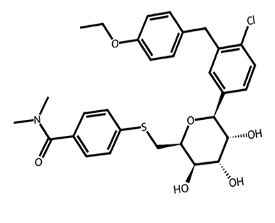 CCOc1ccc(Cc2cc([C@@H]3O[C@H](CSc4ccc(C(=O)N(C)C)cc4)[C@H](O)[C@@H](O)[C@H]3O)ccc2Cl)cc1